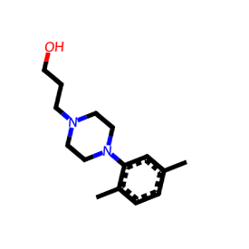 Cc1ccc(C)c(N2CCN(CCCO)CC2)c1